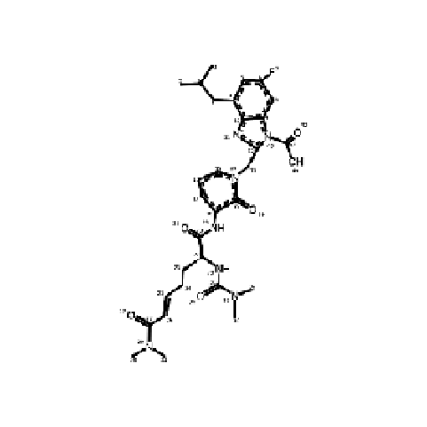 CC(C)Cc1cc(F)cc2c1nc(Cn1cccc(NC(=O)[C@H](CC/C=C/C(=O)N(C)C)NC(=O)N(C)C)c1=O)n2C(=O)O